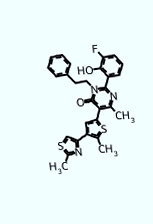 Cc1nc(-c2cc(-c3c(C)nc(-c4cccc(F)c4O)n(CCc4ccccc4)c3=O)sc2C)cs1